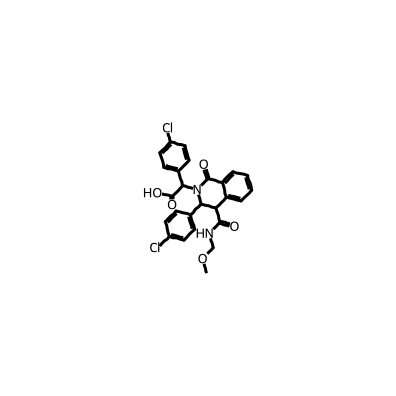 COCNC(=O)C1c2ccccc2C(=O)N(C(C(=O)O)c2ccc(Cl)cc2)C1c1ccc(Cl)cc1